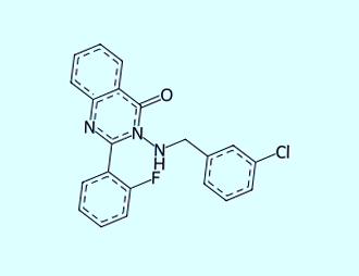 O=c1c2ccccc2nc(-c2ccccc2F)n1NCc1cccc(Cl)c1